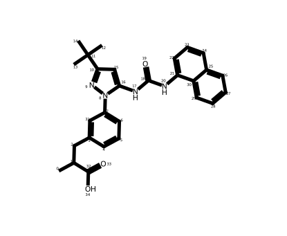 CC(Cc1cccc(-n2nc(C(C)(C)C)cc2NC(=O)Nc2cccc3ccccc23)c1)C(=O)O